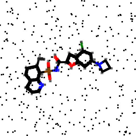 COc1ccc2cccnc2c1S(=O)(=O)NC(=O)c1cc2c(F)cc(N3CCC3)cc2o1